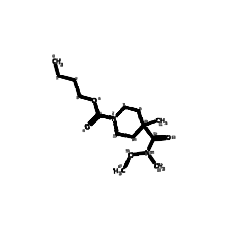 CCCCOC(=O)N1CCC(C)(C(=O)N(C)OC)CC1